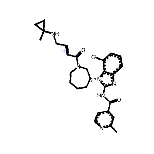 Cc1cc(C(=O)Nc2nc3cccc(Cl)c3n2[C@@H]2CCCCN(C(=O)/C=C/CNC3(C)CC3)C2)ccn1